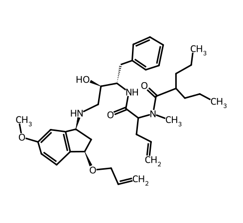 C=CCO[C@@H]1C[C@H](NC[C@@H](O)[C@H](Cc2ccccc2)NC(=O)C(CC=C)N(C)C(=O)C(CCC)CCC)c2cc(OC)ccc21